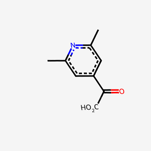 Cc1cc(C(=O)C(=O)O)cc(C)n1